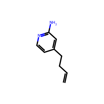 C=CCCc1ccnc(N)c1